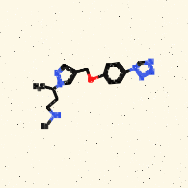 CCNCCC(C)n1cc(COc2ccc(-n3cnnn3)cc2)cn1